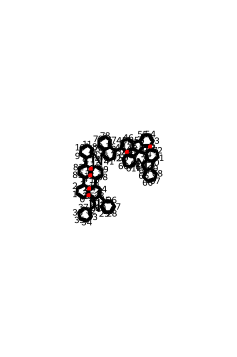 c1ccc(-c2ccc(-c3ccccc3N(c3ccc(-c4ccc5c(c4)c4ccccc4n5-c4ccccc4)cc3)c3ccc(-c4ccc5c(c4)C4(c6ccccc6-5)c5ccccc5-n5c6ccccc6c6cccc4c65)c4ccccc34)cc2)cc1